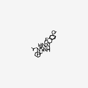 COc1ccc(CC(=O)NC(=N)N[C@H](CC2CCCCC2)C(=O)NCC(C)C)c(F)c1